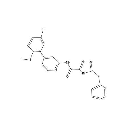 COc1ccc(F)cc1-c1ccnc(NC(=O)c2nnc(Cc3ccccc3)[nH]2)c1